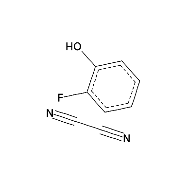 N#CC#N.Oc1ccccc1F